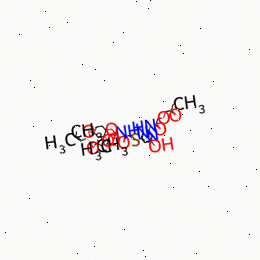 CCC(=O)COCC(=O)Nc1nc(O)cc(SCC(=O)NC(=O)O[C@@H]2CC[C@]3(CO3)[C@@H](C3(C)O[C@@H]3CC=C(C)C)[C@@H]2OC)n1